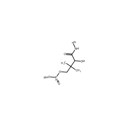 CCCNC(=O)C(O)C(C)(C)CO[PH](=O)OC